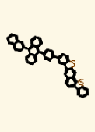 c1ccc2cc(-c3c4ccccc4c(-c4ccc(-c5ccc6sc7cc8c(ccc9c%10ccccc%10sc89)cc7c6c5)cc4)c4ccccc34)ccc2c1